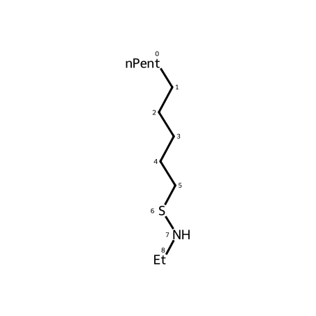 CCCCCCCCCCSNCC